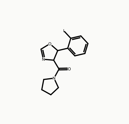 O=C(C1N=COC1c1ccccc1I)N1CCCC1